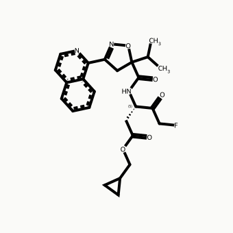 CC(C)C1(C(=O)N[C@@H](CC(=O)OCC2CC2)C(=O)CF)CC(c2nccc3ccccc23)=NO1